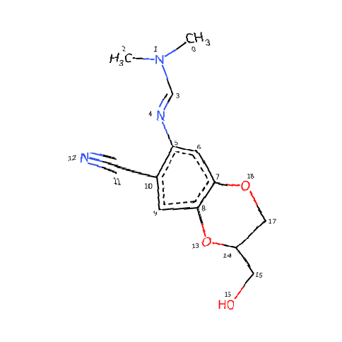 CN(C)/C=N/c1cc2c(cc1C#N)OC(CO)CO2